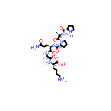 C[C@H](NC(=O)[C@H](CCC(N)=O)NC(=O)[C@@H]1CCCN1C(=O)[C@H](C)NC(=O)[C@@H]1CCCN1)C(=O)N[C@@H](CCCCN)C(=O)O